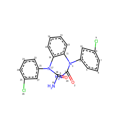 NC(=O)N(c1cccc(Cl)c1)c1ccccc1N(C(N)=O)c1cccc(Cl)c1